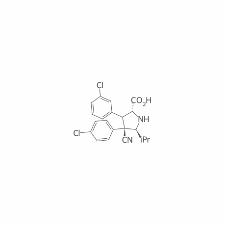 CC(C)[C@@H]1N[C@@H](C(=O)O)C(c2cccc(Cl)c2)[C@@]1(C#N)c1ccc(Cl)cc1